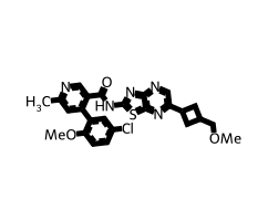 COCC1CC(c2cnc3nc(NC(=O)c4cnc(C)cc4-c4cc(Cl)ccc4OC)sc3n2)C1